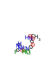 CS(=O)(=O)Nc1ccc(Oc2ccc(CN3CCC(N(Cc4cccnc4)C(=O)Nc4ccc(F)cc4)CC3)cc2)cc1.Cl.Cl